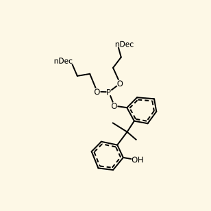 CCCCCCCCCCCCOP(OCCCCCCCCCCCC)Oc1ccccc1C(C)(C)c1ccccc1O